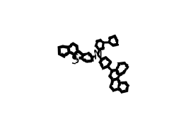 c1ccc(-c2cccc(N(c3ccc(-c4cc5ccc6ccccc6c5c5ccccc45)cc3)c3ccc4sc5c6ccccc6ccc5c4c3)c2)cc1